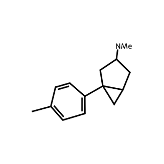 CNC1CC2CC2(c2ccc(C)cc2)C1